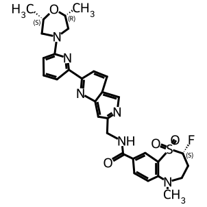 C[C@@H]1CN(c2cccc(-c3ccc4cnc(CNC(=O)c5ccc6c(c5)S(=O)(=O)[C@H](F)CCN6C)cc4n3)n2)C[C@H](C)O1